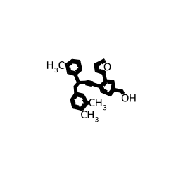 Cc1cccc(C(C#Cc2ccc(CO)cc2-c2ccco2)Cc2ccc(C)c(C)c2)c1